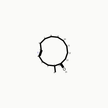 CC1CC/C=C/CCCCCCCCC1=O